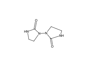 O=C1NCCN1N1CCNC1=O